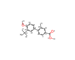 COC(=O)c1ccc(-c2ccc(OC)c(C(C)(C)C)c2)c(C)c1